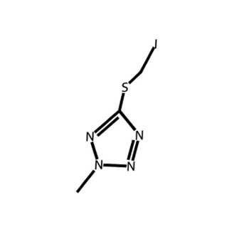 Cn1nnc(SCI)n1